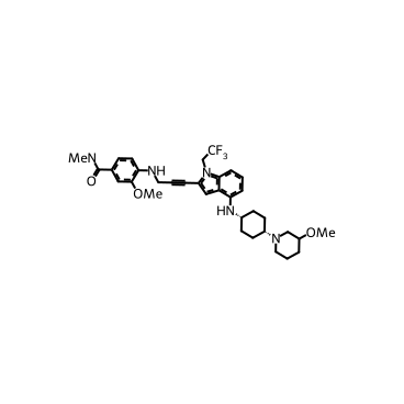 CNC(=O)c1ccc(NCC#Cc2cc3c(N[C@H]4CC[C@@H](N5CCCC(OC)C5)CC4)cccc3n2CC(F)(F)F)c(OC)c1